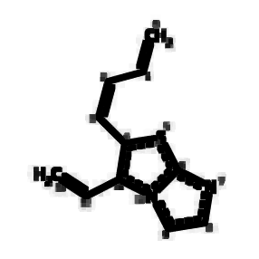 C=C/C=C\c1sc2nccn2c1C=C